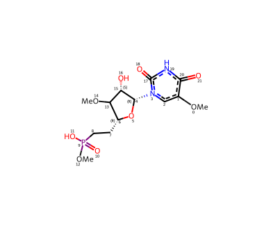 COc1cn([C@@H]2O[C@H](CCP(=O)(O)OC)C(OC)[C@@H]2O)c(=O)[nH]c1=O